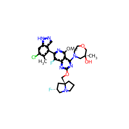 COc1nc(-c2c(C)c(Cl)cc3[nH]ncc23)c(F)c2nc(OC[C@@]34CCCN3C[C@H](F)C4)nc(N3CCOC[C@@](C)(O)C3)c12